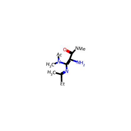 CC/C(C)=N/C(=C(\N)C(=O)NC)N(C)C(C)=O